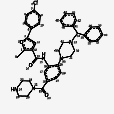 Cc1oc(-c2ccc(Cl)cc2)cc1C(=O)Nc1cc(C(=O)N2CCNCC2)ccc1N1CCN(C(c2ccccc2)c2ccccc2)CC1